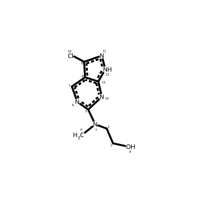 CN(CCO)c1ncc2c(Cl)n[nH]c2n1